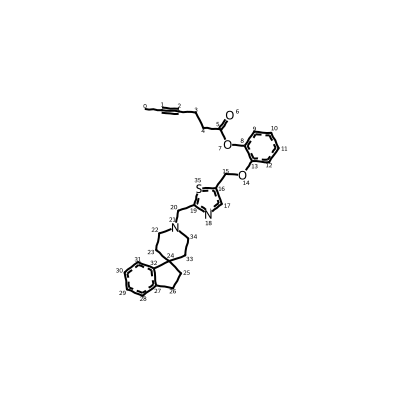 CC#CCCC(=O)Oc1ccccc1OCc1cnc(CN2CCC3(CCc4ccccc43)CC2)s1